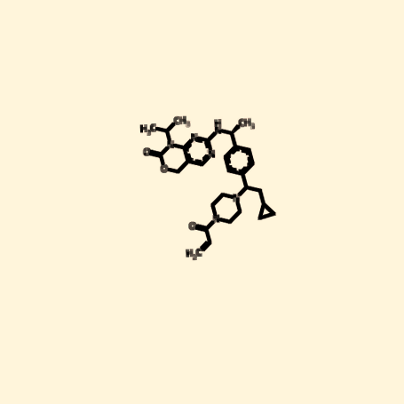 C=CC(=O)N1CCN(C(CC2CC2)c2ccc([C@H](C)Nc3ncc4c(n3)N(C(C)C)C(=O)OC4)cc2)CC1